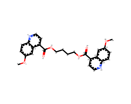 COc1ccc2nccc(C(=O)OCCCCOC(=O)c3ccnc4ccc(OC)cc34)c2c1